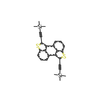 C[Si](C)(C)C#Cc1sc2cccc3c4c(C#C[Si](C)(C)C)sc5cccc(c1c23)c54